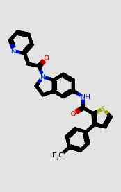 O=C(Nc1ccc2c(c1)CCN2C(=O)Cc1ccccn1)c1sccc1-c1ccc(C(F)(F)F)cc1